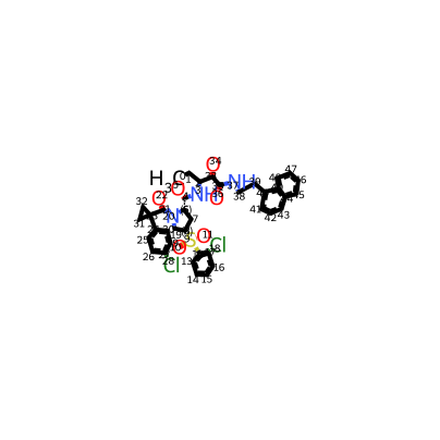 CCC(NC(=O)[C@@H]1C[C@@H](S(=O)(=O)c2ccccc2Cl)CN1C(=O)C1(c2ccc(Cl)cc2)CC1)C(=O)C(=O)NCCc1cccc2ccccc12